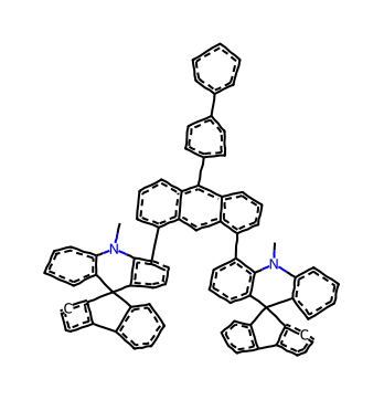 CN1c2ccccc2C2(c3ccccc3-c3ccccc32)c2cccc(-c3cccc4c(-c5ccc(-c6ccccc6)cc5)c5cccc(-c6cccc7c6N(C)c6ccccc6C76c7ccccc7-c7ccccc76)c5cc34)c21